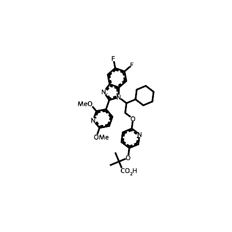 COc1ccc(-c2nc3cc(F)c(F)cc3n2C(COc2ccc(OC(C)(C)C(=O)O)cn2)C2CCCCC2)c(OC)n1